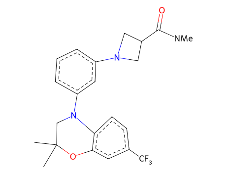 CNC(=O)C1CN(c2cccc(N3CC(C)(C)Oc4cc(C(F)(F)F)ccc43)c2)C1